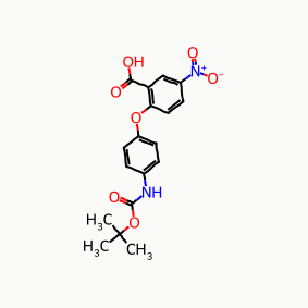 CC(C)(C)OC(=O)Nc1ccc(Oc2ccc([N+](=O)[O-])cc2C(=O)O)cc1